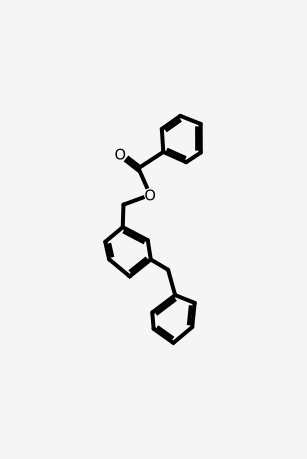 O=C(OCc1cccc(Cc2ccccc2)c1)c1ccccc1